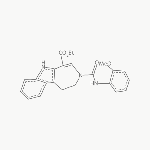 CCOC(=O)C1=CN(C(=O)Nc2ccccc2OC)CCc2c1[nH]c1ccccc21